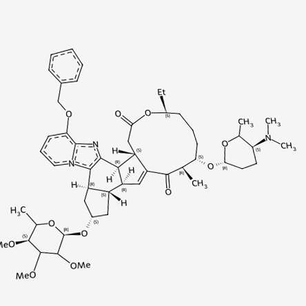 CC[C@H]1CCC[C@H](O[C@H]2CC[C@H](N(C)C)C(C)O2)[C@@H](C)C(=O)C2=C[C@H]3[C@@H]4C[C@H](O[C@@H]5OC(C)[C@H](OC)C(OC)C5OC)C[C@H]4c4c(nc5c(OCc6ccccc6)cccn45)[C@H]3[C@@H]2CC(=O)O1